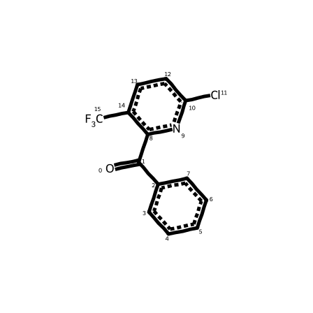 O=C(c1ccccc1)c1nc(Cl)ccc1C(F)(F)F